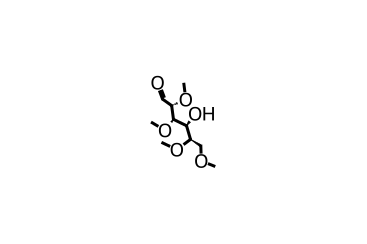 COC[C@@H](OC)[C@H](O)[C@H](OC)[C@H](C=O)OC